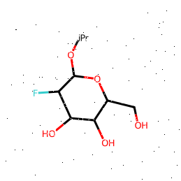 CC(C)OC1OC(CO)C(O)C(O)C1F